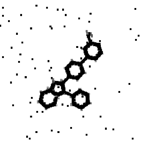 Cc1cccc(-c2ccc(-c3nc4ccccn4c3-c3ccccc3)cc2)c1